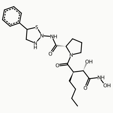 CCCC[C@@H](C(=O)N1CCC[C@H]1C(=O)NN1NCC(c2ccccc2)S1)[C@H](O)C(=O)NO